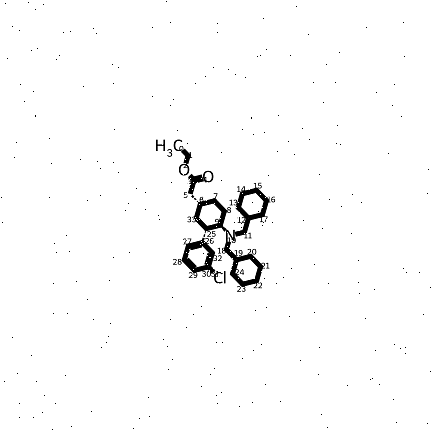 CCOC(=O)C[C@@H]1CC[C@@H](N(CC2CCCCC2)CC2CCCCC2)[C@H](c2cccc(Cl)c2)C1